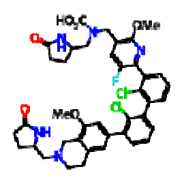 COc1cc(-c2cccc(-c3cccc(-c4nc(OC)c(CN(CC5CCC(=O)N5)C(=O)O)cc4F)c3Cl)c2Cl)cc2c1CN(CC1CCC(=O)N1)CC2